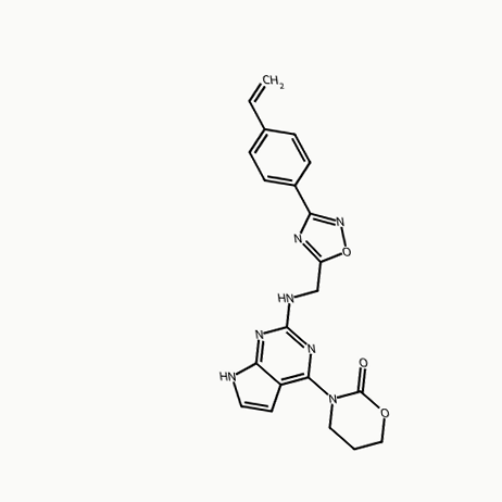 C=Cc1ccc(-c2noc(CNc3nc(N4CCCOC4=O)c4cc[nH]c4n3)n2)cc1